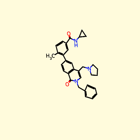 Cc1ccc(C(=O)NC2CC2)cc1-c1ccc2c(=O)n(Cc3ccccc3)cc(CN3CCCC3)c2c1